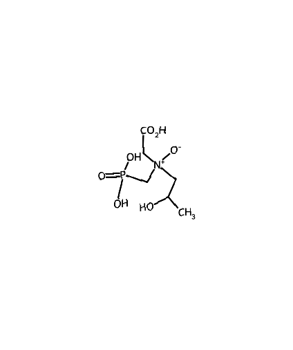 CC(O)C[N+]([O-])(CC(=O)O)CP(=O)(O)O